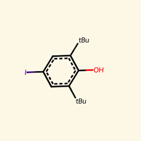 CC(C)(C)c1cc(I)cc(C(C)(C)C)c1O